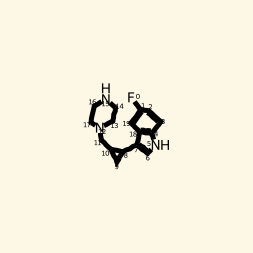 Fc1ccc2[nH]cc(C3CC3CN3CCNCC3)c2c1